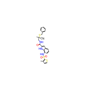 Cc1ccsc1S(=O)(=O)Nc1cccc2cc(C(=O)NCC(C)(C#N)SCc3ccccc3)[nH]c12